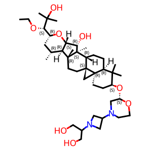 CCO[C@@H]([C@H]1C[C@@H](C)[C@H]2[C@H](O1)[C@H](O)[C@@]1(C)[C@@H]3CC[C@H]4C(C)(C)[C@@H](O[C@H]5CN(C6CN(C(CO)CO)C6)CCO5)CC[C@@]45C[C@@]35CC[C@]21C)C(C)(C)O